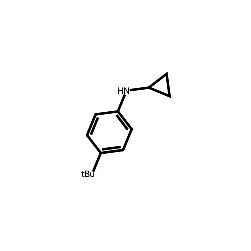 CC(C)(C)c1ccc(NC2CC2)cc1